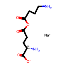 NCCCC(=O)OC(=O)CC[C@H](N)C(=O)[O-].[Na+]